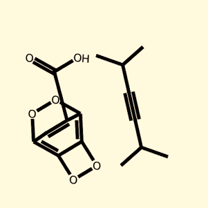 CC(C)C#CC(C)C.O=C(O)c1cc2c3ooc3c1OO2